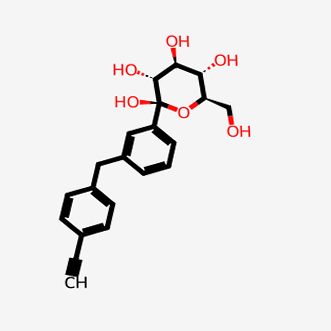 C#Cc1ccc(Cc2cccc([C@@]3(O)O[C@H](CO)[C@@H](O)[C@H](O)[C@H]3O)c2)cc1